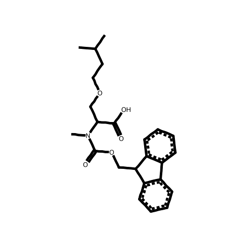 CC(C)CCOCC(C(=O)O)N(C)C(=O)OCC1c2ccccc2-c2ccccc21